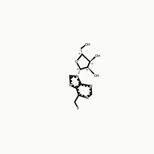 OC[C@H]1O[C@@H](n2cnc3c(CF)ncnc32)[C@H](O)[C@@H]1O